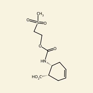 CS(=O)(=O)CCOC(=O)N[C@@H]1CC=CC[C@@H]1C(=O)O